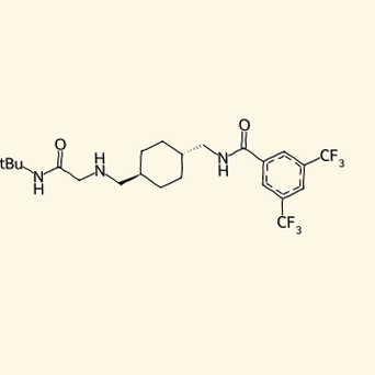 CC(C)(C)NC(=O)CNC[C@H]1CC[C@H](CNC(=O)c2cc(C(F)(F)F)cc(C(F)(F)F)c2)CC1